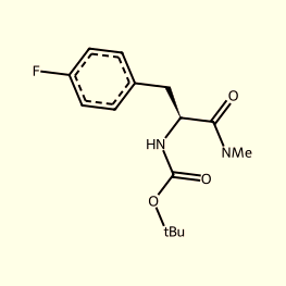 CNC(=O)[C@H](Cc1ccc(F)cc1)NC(=O)OC(C)(C)C